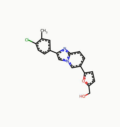 Cc1cc(-c2cn3cc(-c4ccc(CO)o4)ccc3n2)ccc1Cl